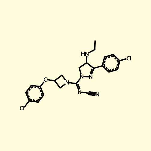 CCNC1CN(C(=NC#N)N2CC(Oc3ccc(Cl)cc3)C2)N=C1c1ccc(Cl)cc1